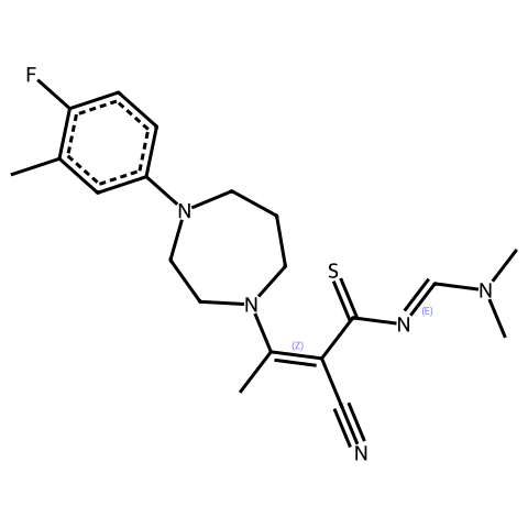 C/C(=C(\C#N)C(=S)/N=C/N(C)C)N1CCCN(c2ccc(F)c(C)c2)CC1